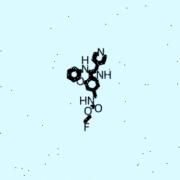 O=C(NCC1CC(=O)c2c([nH]c(-c3ccncc3)c2Nc2ccccc2)C1)OCCF